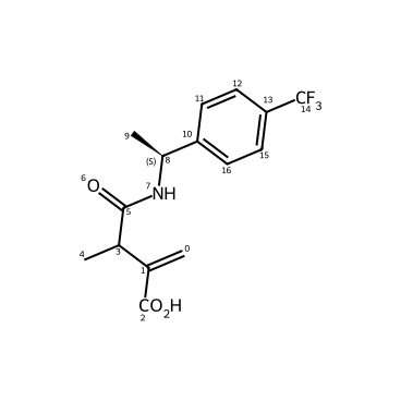 C=C(C(=O)O)C(C)C(=O)N[C@@H](C)c1ccc(C(F)(F)F)cc1